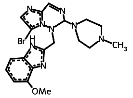 COc1cccc2[nH]c(CN3C(N4CCN(C)CC4)N=Cc4ncc(Br)n43)nc12